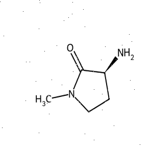 CN1CC[C@H](N)C1=O